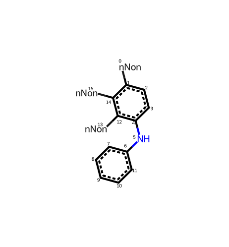 CCCCCCCCCc1ccc(Nc2ccccc2)c(CCCCCCCCC)c1CCCCCCCCC